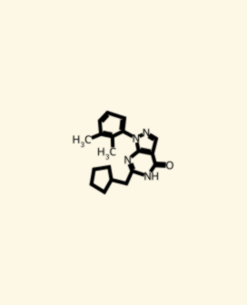 Cc1cccc(-n2ncc3c(=O)[nH]c(CC4CCCC4)nc32)c1C